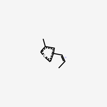 C/C=C\c1cccc(C)c1